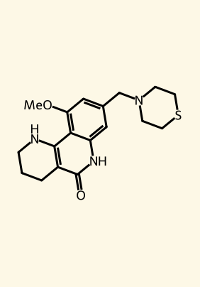 COc1cc(CN2CCSCC2)cc2[nH]c(=O)c3c(c12)NCCC3